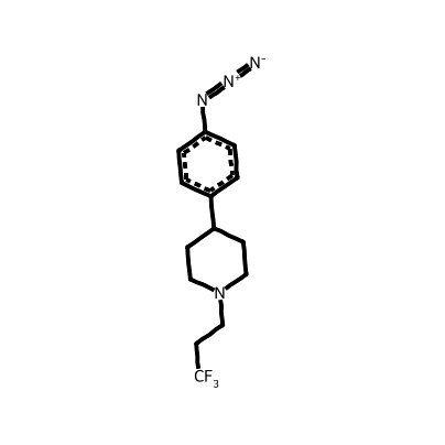 [N-]=[N+]=Nc1ccc(C2CCN(CCC(F)(F)F)CC2)cc1